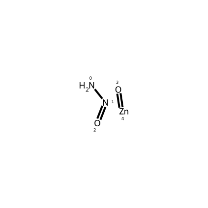 NN=O.[O]=[Zn]